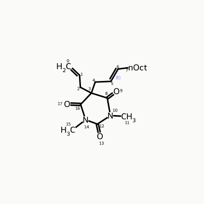 C=CCC1(C/C=C/CCCCCCCC)C(=O)N(C)C(=O)N(C)C1=O